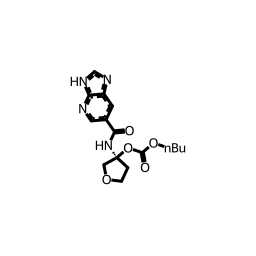 CCCCOC(=O)O[C@@]1(NC(=O)c2cnc3[nH]cnc3c2)CCOC1